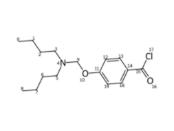 CCCCN(CCCC)COc1ccc(C(=O)Cl)cc1